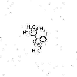 CCC(C[N+](C)(C)C)C(=O)c1ccccc1[S+]([O-])CC.[I-]